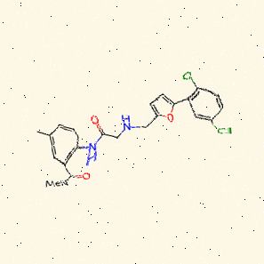 CNC(=O)c1cc(C)ccc1NC(=O)CNCc1ccc(-c2cc(Cl)ccc2Cl)o1